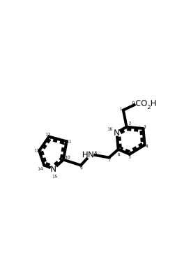 O=C(O)Cc1cccc(CNCc2ccccn2)n1